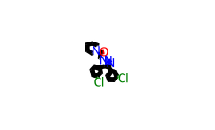 O=C(Cn1nnc(-c2cccc(Cl)c2)c1-c1cccc(Cl)c1)N1CCCCC1